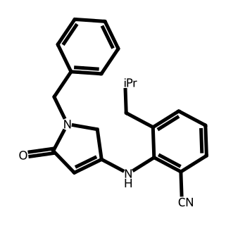 CC(C)Cc1cccc(C#N)c1NC1=CC(=O)N(Cc2ccccc2)C1